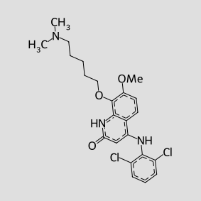 COc1ccc2c(Nc3c(Cl)cccc3Cl)cc(=O)[nH]c2c1OCCCCCN(C)C